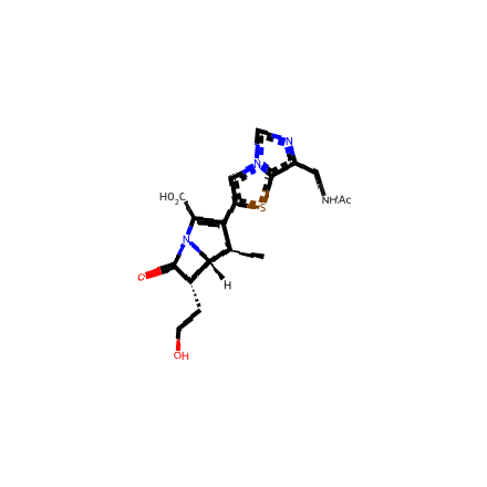 CC(=O)NCc1ncn2cc(C3=C(C(=O)O)N4C(=O)[C@@H](CCO)[C@H]4[C@@H]3C)sc12